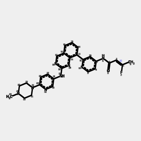 C/C(F)=C/C(=O)Nc1ccnc(-c2cccc3cnc(Nc4ccc(N5CCN(C)CC5)nc4)nc23)c1